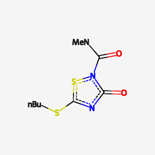 CCCCSc1nc(=O)n(C(=O)NC)s1